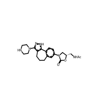 CC(=O)NC[C@H]1CN(c2ccc3c(c2)CCCc2c(N4CCNCC4)n[nH]c2-3)C(=O)O1